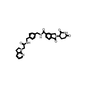 O=C(CN1CCc2cccnc21)NCc1ccc(CNC(=O)c2ccc3c(c2)CN(C2CCC(=O)NC2=O)C3=O)cc1